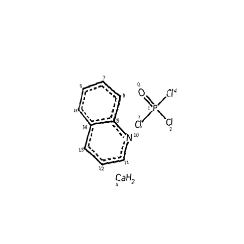 O=P(Cl)(Cl)Cl.[CaH2].c1ccc2ncccc2c1